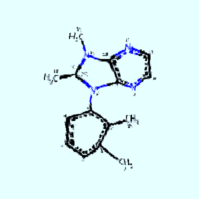 Cc1cccc(N2c3nccnc3N(C)[C@@H]2C)c1C